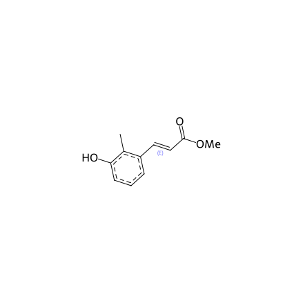 COC(=O)/C=C/c1cccc(O)c1C